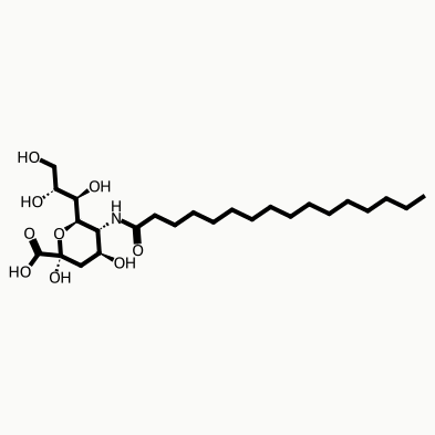 CCCCCCCCCCCCCCCC(=O)N[C@H]1[C@H]([C@H](O)[C@H](O)CO)O[C@](O)(C(=O)O)C[C@@H]1O